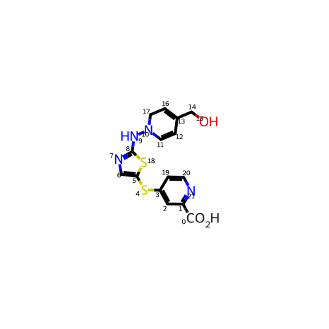 O=C(O)c1cc(Sc2cnc(NN3C=CC(CO)=CC3)s2)ccn1